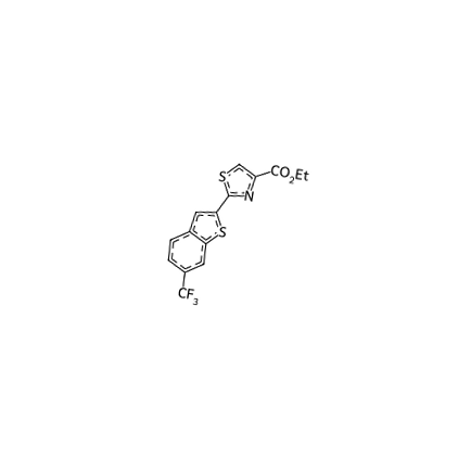 CCOC(=O)c1csc(-c2cc3ccc(C(F)(F)F)cc3s2)n1